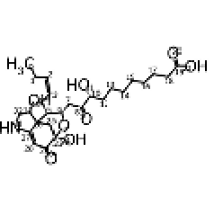 CC/C=C\C[C@H]1[C@@H](CC(=O)[C@H](O)CCCCCCCC(=O)O)O[C@@]2(O)CC13C(=CC2=O)NC[C@H]3O